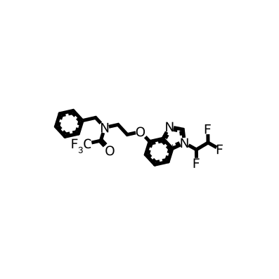 O=C(N(CCOc1cccc2c1ncn2C(F)C(F)F)Cc1ccccc1)C(F)(F)F